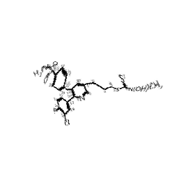 CN(O)C(=S)SCCCc1cnc(-c2ccc(F)c(Cl)c2)c(-c2ccc(S(N)(=O)=O)cc2)c1